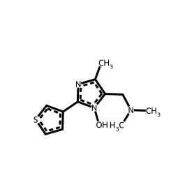 Cc1nc(-c2ccsc2)n(O)c1CN(C)C